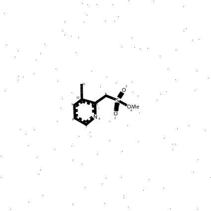 COS(=O)(=O)Cc1ncccc1C